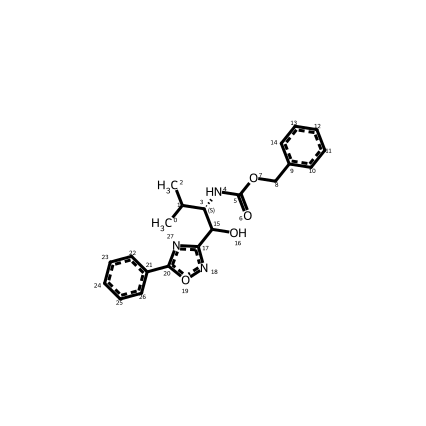 CC(C)[C@H](NC(=O)OCc1ccccc1)C(O)c1noc(-c2ccccc2)n1